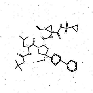 C=C[C@@H]1C[C@]1(NC(=O)[C@@H]1C[C@@](OC)(c2ccc(-c3ccccc3)cc2)CN1C(=O)[C@H](CC(C)C)NC(=O)OC(C)(C)C)C(=O)NS(=O)(=O)C1CC1